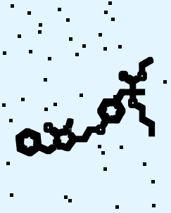 CCCCOC(C)(Cc1ccc(OCCC2CN(Cc3ccccc3)C(=O)N2C)cc1)C(=O)OCC